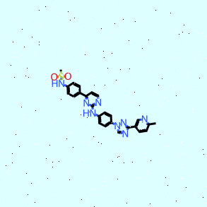 Cc1ccc(-c2ncn(-c3ccc(Nc4nccc(-c5ccc(NS(C)(=O)=O)cc5)n4)cc3)n2)cn1